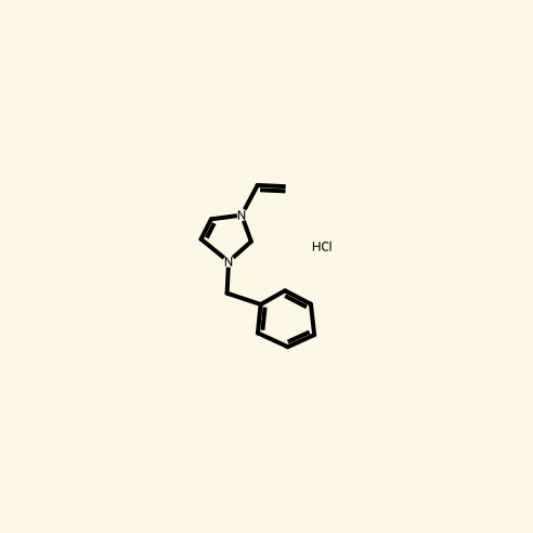 C=CN1C=CN(Cc2ccccc2)C1.Cl